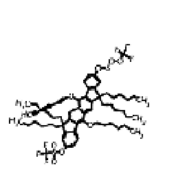 C#CC#CC#COc1c2c(cc3c(OCCCCCC)c4c(cc13)C(CCCCCC)(CCCCCC)c1cc(OS(=O)(=O)C(F)(F)F)ccc1-4)C(CCCCCC)(CCCCCC)c1cc(OSOOC(F)(F)F)ccc1-2